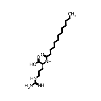 CCCCCCCCCCCCC(=O)N[C@@H](CCCNC(=N)N)C(=O)O